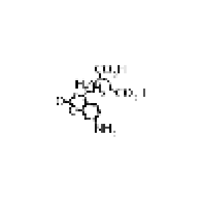 Cc1cc(=O)oc2cc(N)ccc12.NC(CCC(=O)O)C(=O)O